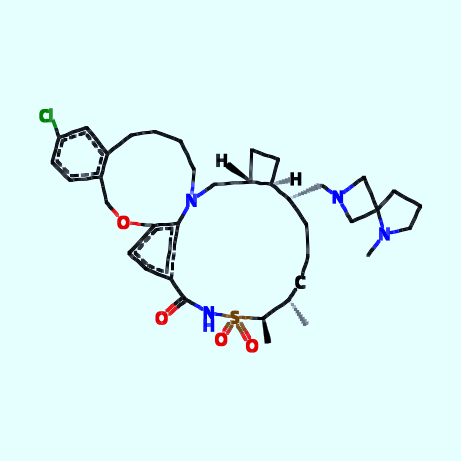 C[C@@H]1[C@@H](C)CCC[C@@H](CN2CC3(CCCN3C)C2)[C@@H]2CC[C@H]2CN2CCCCc3cc(Cl)ccc3COc3ccc(cc32)C(=O)NS1(=O)=O